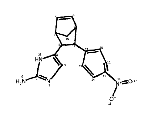 Nc1ncc(C2C3C=CC(C3)C2c2ccc([N+](=O)[O-])cc2)[nH]1